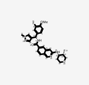 COc1ccc([C@H](NC(=O)c2ccc3cnc(N[C@H]4CCOC[C@H]4F)cc3c2)c2cnn(C)c2)cc1F